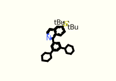 CC(C)(C)S(C)(c1ccc2c(-c3cc(C4CCCCC4)cc(C4CCCCC4)c3)nccc2c1)C(C)(C)C